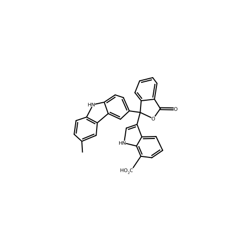 Cc1ccc2[nH]c3ccc(C4(c5c[nH]c6c(C(=O)O)cccc56)OC(=O)c5ccccc54)cc3c2c1